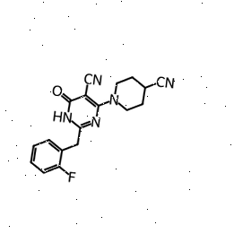 N#Cc1c(N2CCC(C#N)CC2)nc(Cc2ccccc2F)[nH]c1=O